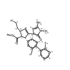 COC(=O)C1CC([C@@]2(c3ccc(F)c(-c4cccnc4F)c3)N=C(N)N(C)C2=O)=CN1CCF